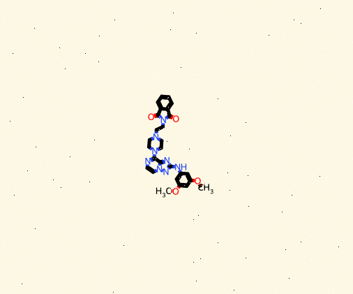 COc1cc(Nc2nc3c(N4CCN(CCN5C(=O)c6ccccc6C5=O)CC4)nccn3n2)cc(OC)c1